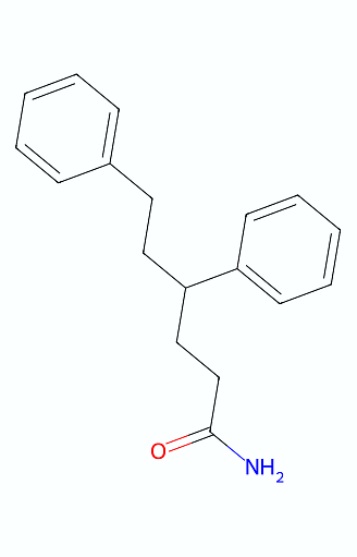 NC(=O)CCC(CCc1ccccc1)c1ccccc1